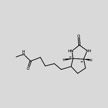 CNC(=O)CCCCC1CC[C@H]2NC(=O)N[C@@H]12